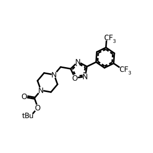 CC(C)(C)OC(=O)N1CCN(Cc2nc(-c3cc(C(F)(F)F)cc(C(F)(F)F)c3)no2)CC1